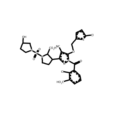 N#Cc1c(C2CCN(S(=O)(=O)N3CCC(O)C3)C2C(=O)O)nn(C(=O)c2cccc(C(=O)O)c2Cl)c1OCc1ccc(Cl)s1